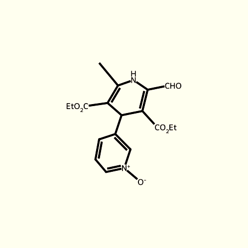 CCOC(=O)C1=C(C)NC(C=O)=C(C(=O)OCC)C1c1ccc[n+]([O-])c1